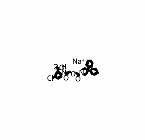 O=C(COCC(=O)N1CCC(c2ccccc2)(c2ccccc2)CC1)Nc1ccc(Cl)cc1C(=O)[O-].[Na+]